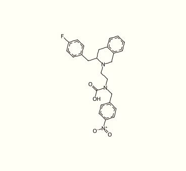 O=C(O)N(CCN1Cc2ccccc2CC1Cc1ccc(F)cc1)Cc1ccc([N+](=O)[O-])cc1